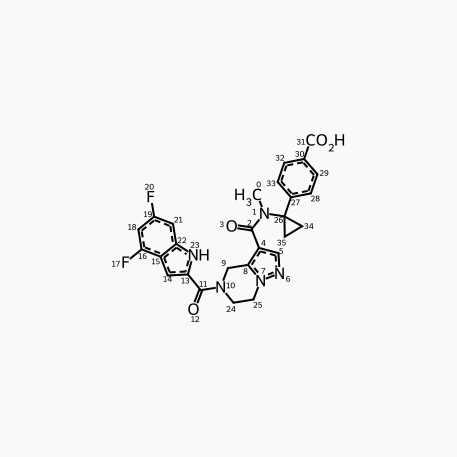 CN(C(=O)c1cnn2c1CN(C(=O)c1cc3c(F)cc(F)cc3[nH]1)CC2)C1(c2ccc(C(=O)O)cc2)CC1